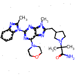 Cc1nc2ccccc2n1-c1nc(N2CCOCC2)c2nc(CC3CCN(C(C)(C)C(N)=O)C3)n(C)c2n1